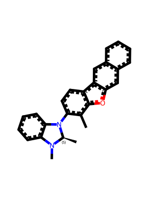 Cc1c(N2c3ccccc3N(C)[C@@H]2C)ccc2c1oc1cc3ccccc3cc12